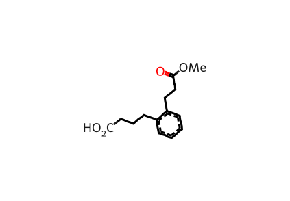 COC(=O)CCc1ccccc1CCCC(=O)O